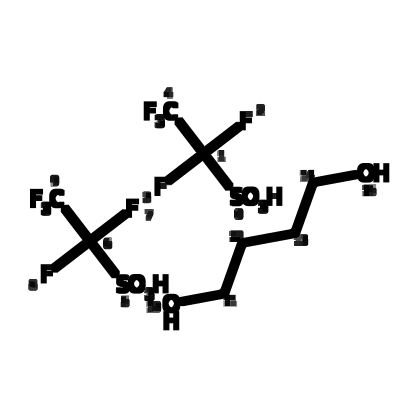 O=S(=O)(O)C(F)(F)C(F)(F)F.O=S(=O)(O)C(F)(F)C(F)(F)F.OCCCCO